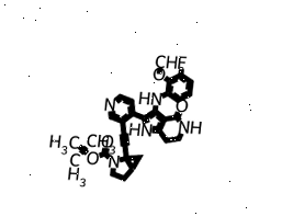 COc1c(F)cccc1Nc1c(-c2ccncc2C#CC23CC2CCN3C(=O)OC(C)(C)C)[nH]c2c1C(=O)NCC2